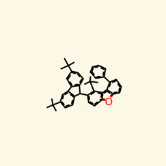 CC(C)(C)c1ccc2c(c1)-c1cc(C(C)(C)C)ccc1C2c1ccc2oc3cccc(-c4ccccc4)c3c2c1C(C)(C)C